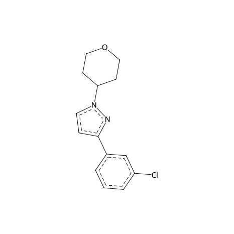 Clc1cccc(-c2ccn(C3CCOCC3)n2)c1